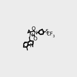 Cc1cccc2c(CN3C(=O)N(c4ccc(SC(F)(F)F)cc4)C(=O)C34CC4)ccnc12